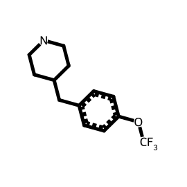 FC(F)(F)Oc1ccc(CC2CC[N]CC2)cc1